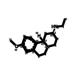 CCN[C@@H]1CCN2CCc3cc(OC)ccc3[C@@H]2C1